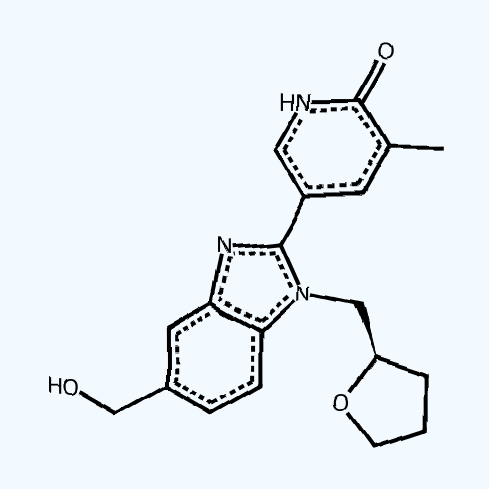 Cc1cc(-c2nc3cc(CO)ccc3n2C[C@H]2CCCO2)c[nH]c1=O